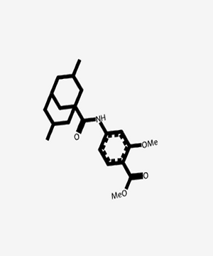 COC(=O)c1ccc(NC(=O)C23CC(C)CC(CC(C)C2)C3)cc1OC